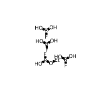 CCOB(O)F.OB(O)F.OB(O)F.OB(O)F